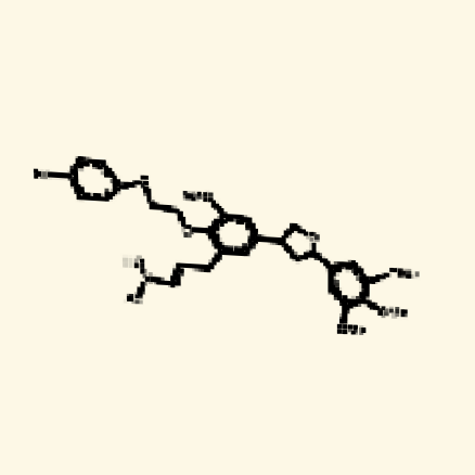 COc1cc(C2COC(c3cc(OC)c(OC)c(OC)c3)C2)cc(CC=CN(O)C(C)=O)c1OCCSc1ccc(Br)cc1